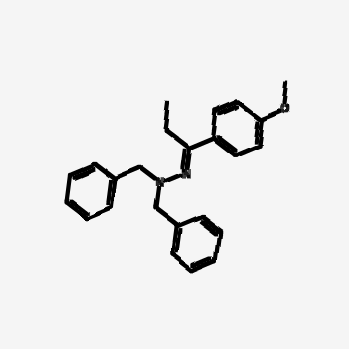 CCC(=NN(Cc1ccccc1)Cc1ccccc1)c1ccc(OC)cc1